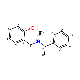 CC(C)N(Cc1ccccc1O)C(C)c1ccccc1